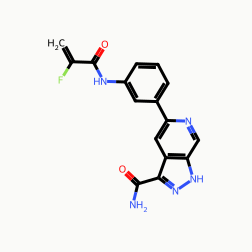 C=C(F)C(=O)Nc1cccc(-c2cc3c(C(N)=O)n[nH]c3cn2)c1